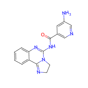 Nc1cncc(C(=O)NC2=Nc3ccccc3C3=NCCN23)c1